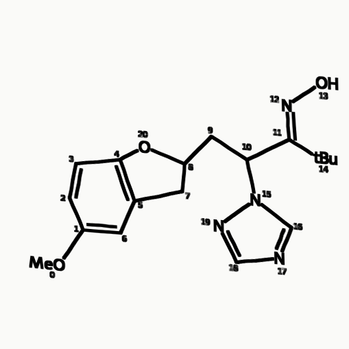 COc1ccc2c(c1)CC(CC(C(=NO)C(C)(C)C)n1cncn1)O2